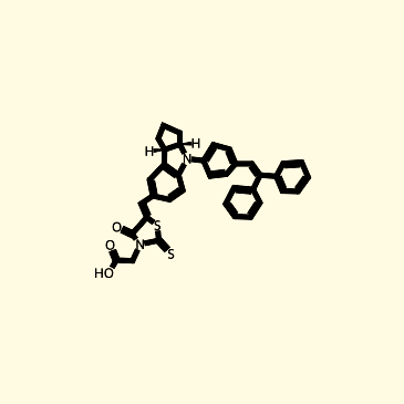 O=C(O)CN1C(=O)/C(=C/c2ccc3c(c2)[C@@H]2CCC[C@@H]2N3c2ccc(C=C(c3ccccc3)c3ccccc3)cc2)SC1=S